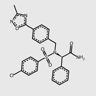 Cc1noc(-c2ccc(CN([C@@H](C(N)=O)c3ccccc3)S(=O)(=O)c3ccc(Cl)cc3)cc2)n1